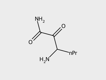 CCCC(N)C(=O)C(N)=O